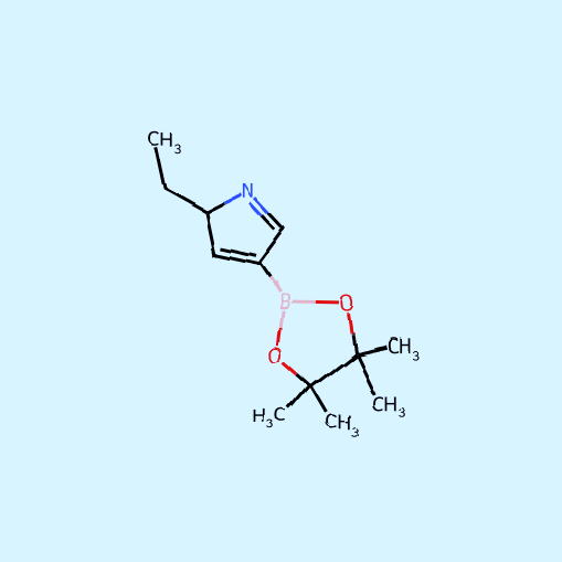 CCC1C=C(B2OC(C)(C)C(C)(C)O2)C=N1